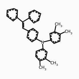 Cc1ccc(N(c2ccc(C=C(c3ccccc3)c3ccccc3)cc2)c2ccc(C)c(C)c2)cc1C